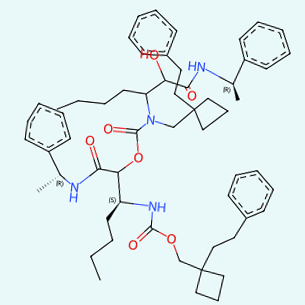 CCCCC(C(O)C(=O)N[C@H](C)c1ccccc1)N(CC1(CCc2ccccc2)CCC1)C(=O)OC(C(=O)N[C@H](C)c1ccccc1)[C@H](CCCC)NC(=O)OCC1(CCc2ccccc2)CCC1